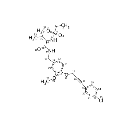 CCS(=O)(=O)NC(C(=O)NCc1ccc(OCC#Cc2ccc(Cl)cc2)c(OC)c1)C(C)C